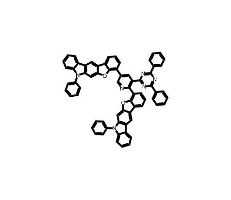 c1ccc(-c2nc(-c3ccccc3)nc(-c3cc(-c4cccc5c4oc4cc6c(cc45)c4ccccc4n6-c4ccccc4)cnc3-c3cccc4c3oc3cc5c(cc34)c3ccccc3n5-c3ccccc3)n2)cc1